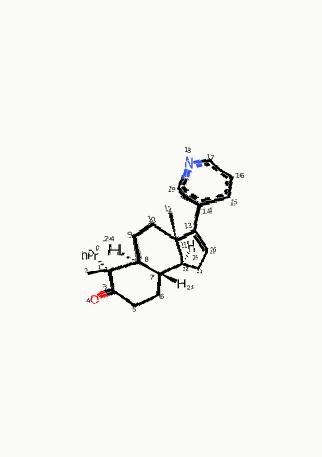 CCC[C@@]1(C)C(=O)CC[C@@H]2[C@@H]1CC[C@]1(C)C(c3cccnc3)=CC[C@@H]21